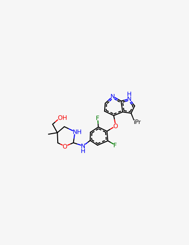 CC(C)c1c[nH]c2nccc(Oc3c(F)cc(NC4NCC(C)(CO)CO4)cc3F)c12